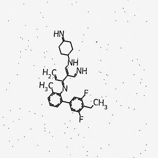 C=CC(=N\c1c(C)cccc1-c1cc(F)c(CC)c(F)c1)/C(C=N)=C/NC1CCC(=N)CC1